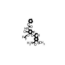 COc1cc2nccc(Oc3c(F)cc(NC(=O)Oc4ccccc4)c(Cl)c3OCC(F)F)c2cc1C(N)=O